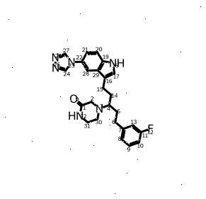 O=C1CN(C(CCc2cccc(F)c2)CCc2c[nH]c3ccc(-n4cnnc4)cc23)CCN1